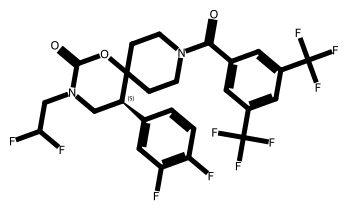 O=C1OC2(CCN(C(=O)c3cc(C(F)(F)F)cc(C(F)(F)F)c3)CC2)[C@@H](c2ccc(F)c(F)c2)CN1CC(F)F